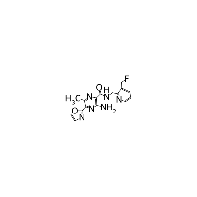 Cc1nc(C(=O)NCc2ncccc2CF)c(N)nc1-c1ncco1